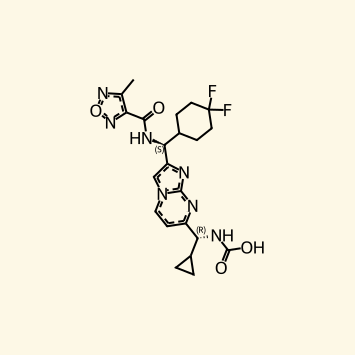 Cc1nonc1C(=O)N[C@H](c1cn2ccc([C@H](NC(=O)O)C3CC3)nc2n1)C1CCC(F)(F)CC1